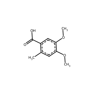 COc1cc(C)c(C(=O)O)cc1OC